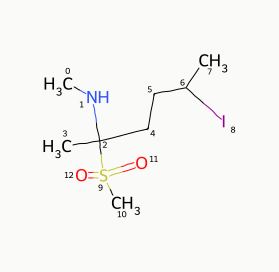 CNC(C)(CCC(C)I)S(C)(=O)=O